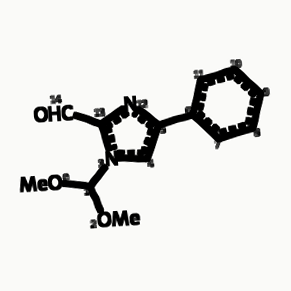 COC(OC)n1cc(-c2ccccc2)nc1C=O